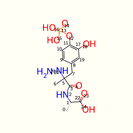 C[C@H](NC(=O)C(C)(Cc1ccc(OP(=O)(O)O)c(O)c1)NN)C(=O)O